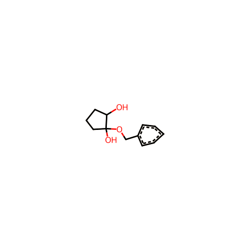 OC1CCCC1(O)OCc1ccccc1